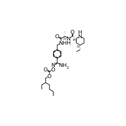 CCCCC(CC)COC(=O)O/N=C(\N)c1ccc(CNC(=O)[C@H](C)NC(=O)[C@H]2C[C@@H](CC)CCN2)cc1